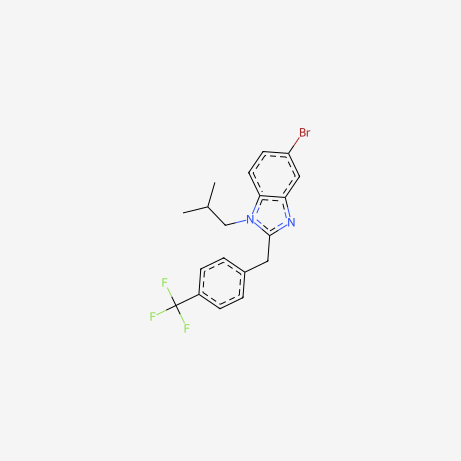 CC(C)Cn1c(Cc2ccc(C(F)(F)F)cc2)nc2cc(Br)ccc21